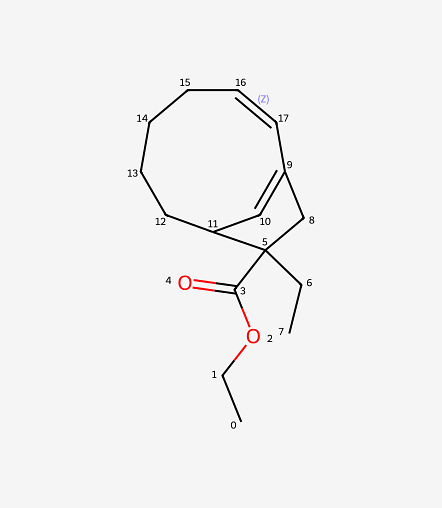 CCOC(=O)C1(CC)CC2=CC1CCCC/C=C\2